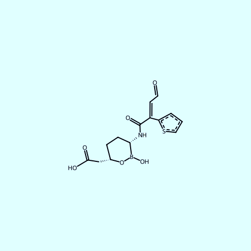 O=C/C=C(/C(=O)N[C@H]1CC[C@@H](CC(=O)O)OB1O)c1cccs1